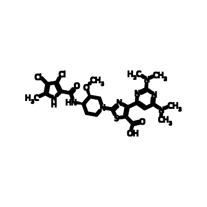 CO[C@H]1CN(c2nc(-c3cc(N(C)C)nc(N(C)C)n3)c(C(=O)O)s2)CC[C@H]1NC(=O)c1[nH]c(C)c(Cl)c1Cl